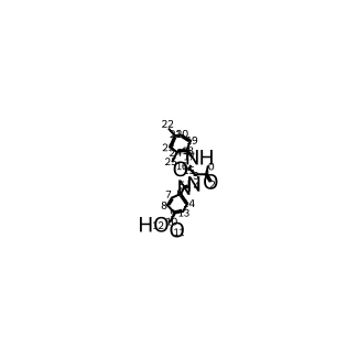 CC(=O)C(N=Nc1ccc(C(=O)O)cc1)C(=O)Nc1ccc(C)cc1C